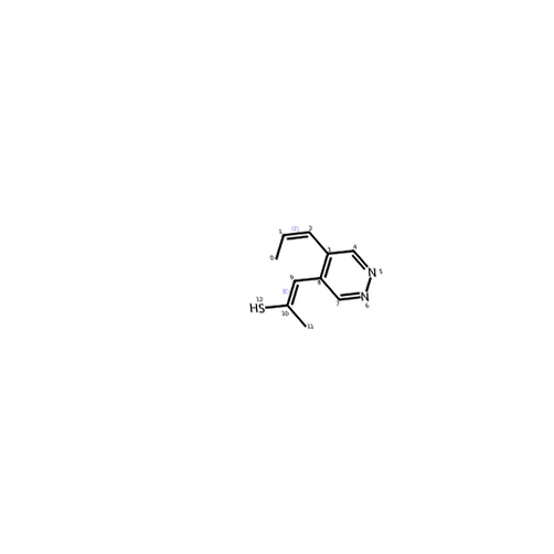 C/C=C\c1cnncc1/C=C(\C)S